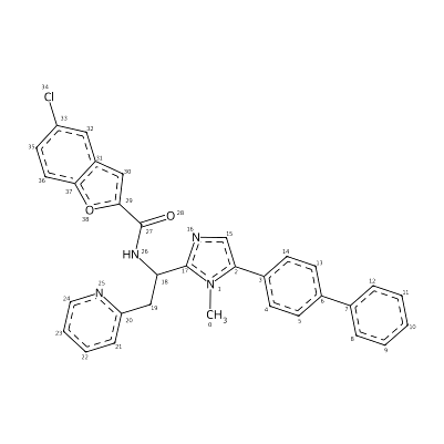 Cn1c(-c2ccc(-c3ccccc3)cc2)cnc1C(Cc1ccccn1)NC(=O)c1cc2cc(Cl)ccc2o1